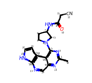 Cc1nc(N2CCC(NC(=O)CC#N)C2)c2c(cnc3[nH]ccc32)n1